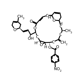 C=C1C[C@H](C)C[C@@H]2CC=C[C@@H](C/C=C\C(=O)O[C@H]([C@@H](O)/C=C/[C@@H]3CC(C)=CCO3)C[C@@H]3O[C@H]3[C@@H](OC(=O)c3ccc([N+](=O)[O-])cc3)C1)O2